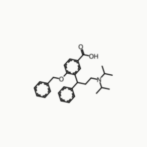 CC(C)N(CCC(c1ccccc1)c1cc(C(=O)O)ccc1OCc1ccccc1)C(C)C